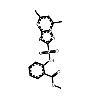 COC(=O)c1ccccc1NS(=O)(=O)c1nc2nc(C)cc(C)n2n1